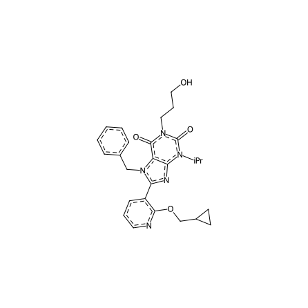 CC(C)n1c(=O)n(CCCO)c(=O)c2c1nc(-c1cccnc1OCC1CC1)n2Cc1ccccc1